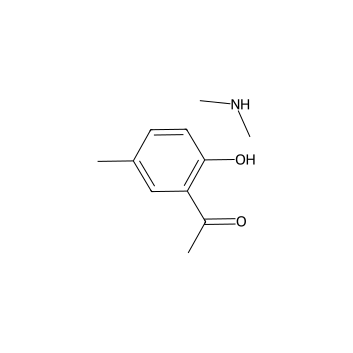 CC(=O)c1cc(C)ccc1O.CNC